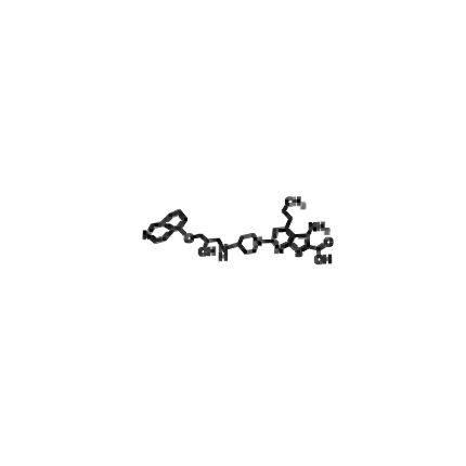 CCCc1cc(N2CCC(NCC(O)COc3cccc4cnccc34)CC2)nc2sc(C(=O)O)c(N)c12